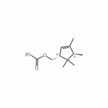 CC1=C[C@@H](COC(=O)C(C)C)C(C)(C)[C@@H]1C